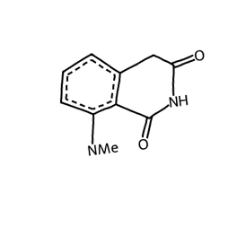 CNc1cccc2c1C(=O)NC(=O)C2